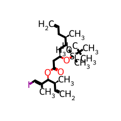 C=CC[C@@H](C)CC[C@H](CC(=O)O[C@H](/C(C)=C/I)[C@@H](C)C=C)O[Si](C)(C)C(C)(C)C